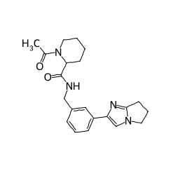 CC(=O)N1CCCCC1C(=O)NCc1cccc(-c2cn3c(n2)CCC3)c1